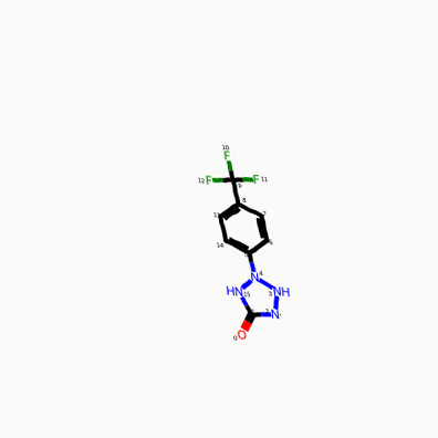 O=C1[N]NN(c2ccc(C(F)(F)F)cc2)N1